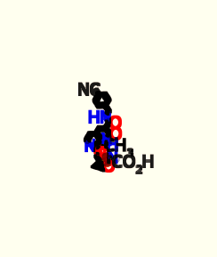 Cn1c(=O)c(C(=O)NCc2ccc(C#N)cc2)cc2ccnc(OCC3(S(=O)(=O)NC(=O)O)CC3)c21